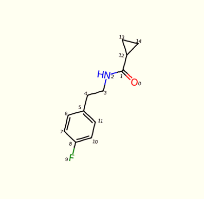 O=C(NCCc1ccc(F)cc1)C1CC1